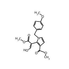 COC(=O)/C(=C\O)c1c(C(=O)OC)ccn1Cc1ccc(OC)cc1